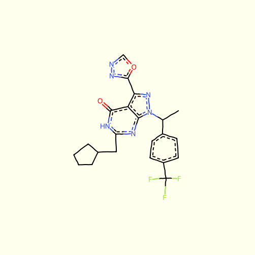 CC(c1ccc(C(F)(F)F)cc1)n1nc(-c2nnco2)c2c(=O)[nH]c(CC3CCCC3)nc21